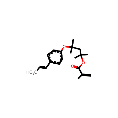 C=C(C)C(=O)OC(C)(C)CC(C)(C)Oc1ccc(/C=C/C(=O)O)cc1